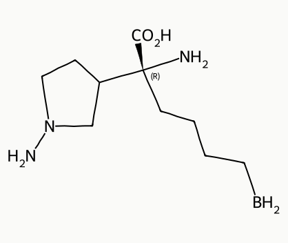 BCCCC[C@](N)(C(=O)O)C1CCN(N)C1